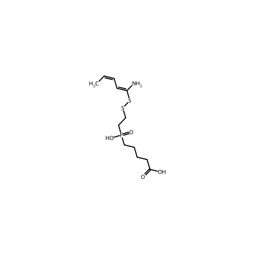 C/C=C\C=C(/N)SSCCP(=O)(O)CCCCC(=O)O